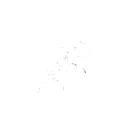 COCCCCN1C[C@H](CO)C2CCCC(C1=O)N2S(=O)(=O)c1cc(Cl)cc(Cl)c1